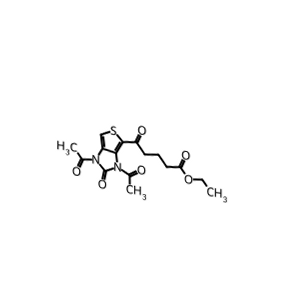 CCOC(=O)CCCC(=O)c1scc2c1n(C(C)=O)c(=O)n2C(C)=O